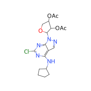 CC(=O)OC1COC(n2ncc3c(NC4CCCC4)nc(Cl)nc32)C1OC(C)=O